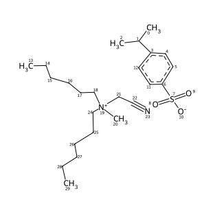 CC(C)c1ccc(S(=O)(=O)[O-])cc1.CCCCCC[N+](C)(CC#N)CCCCCC